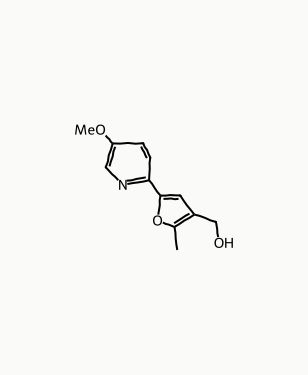 COc1ccc(-c2cc(CO)c(C)o2)nc1